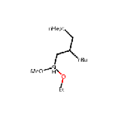 CCCCCCCCC(CCCC)C[SiH](OC)OCC